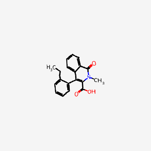 CCc1ccccc1-c1c(C(=O)O)n(C)c(=O)c2ccccc12